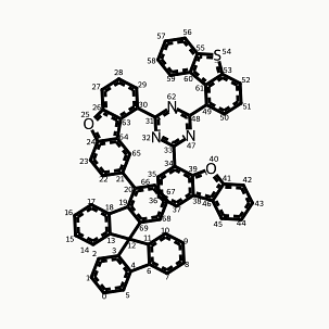 c1ccc2c(c1)-c1ccccc1C21c2ccccc2-c2c(-c3ccc4oc5cccc(-c6nc(-c7cccc8c7oc7ccccc78)nc(-c7cccc8sc9ccccc9c78)n6)c5c4c3)cccc21